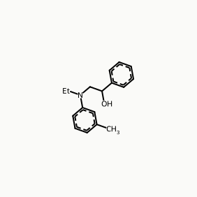 CCN(CC(O)c1ccccc1)c1cccc(C)c1